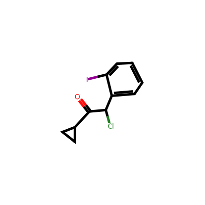 O=C(C1CC1)C(Cl)c1ccccc1I